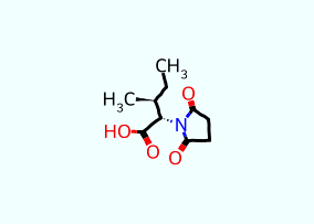 CC[C@H](C)[C@@H](C(=O)O)N1C(=O)CCC1=O